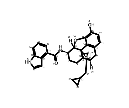 O=C(N[C@@H]1CC[C@@]2(O)[C@H]3Cc4ccc(O)c5c4[C@@]2(CCN3CC2CC2)[C@H]1O5)c1cccc2[nH]ccc12